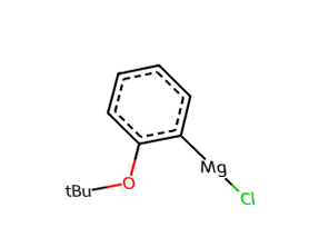 CC(C)(C)Oc1cccc[c]1[Mg][Cl]